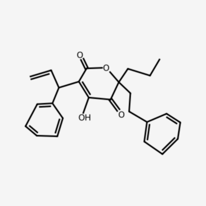 C=CC(C1=C(O)C(=O)C(CCC)(CCc2ccccc2)OC1=O)c1ccccc1